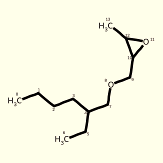 CCCCC(CC)COCC1OC1C